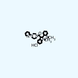 COc1ccccc1-c1c(C(=O)N2CCCN(c3ccccn3)CC2)c2ccccc2n1C.Cl